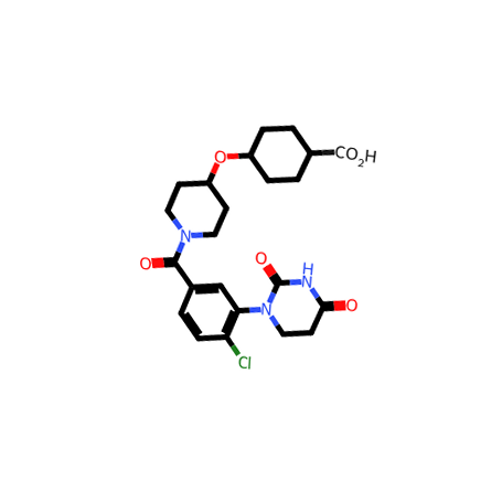 O=C1CCN(c2cc(C(=O)N3CCC(OC4CCC(C(=O)O)CC4)CC3)ccc2Cl)C(=O)N1